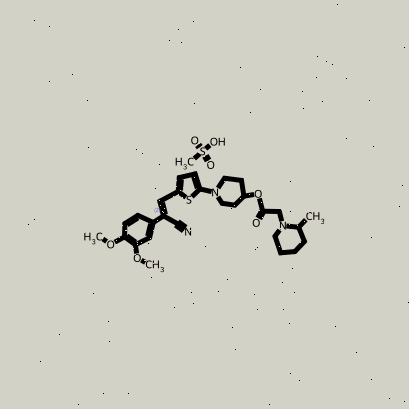 COc1ccc(/C(C#N)=C/c2ccc(N3CCC(OC(=O)CN4CCCCC4C)CC3)s2)cc1OC.CS(=O)(=O)O